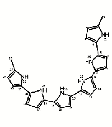 Cc1ccc(-c2ccc(-c3ccc(-c4ccc(-c5ccc(-c6ccc(C)[nH]6)[nH]5)[nH]4)[nH]3)[nH]2)[nH]1